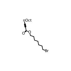 CCCCCCCCC#CC(=O)OCCCCCCCBr